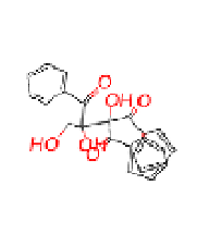 O=C(c1ccccc1)C(O)(CO)C(O)(C(=O)c1ccccc1)C(=O)c1ccccc1